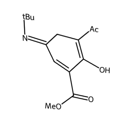 COC(=O)C1=CC(=NC(C)(C)C)CC(C(C)=O)=C1O